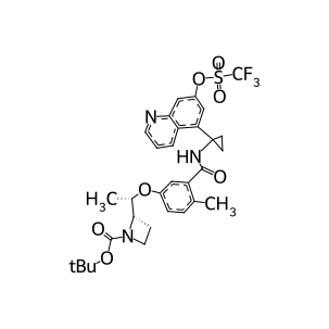 Cc1ccc(O[C@@H](C)[C@@H]2CCN2C(=O)OC(C)(C)C)cc1C(=O)NC1(c2cc(OS(=O)(=O)C(F)(F)F)cc3ncccc23)CC1